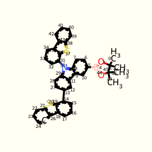 CC1(C)OB(c2ccc3c(c2)c2cc(-c4cccc5c4sc4ccccc45)ccc2n3-c2cccc3c2sc2ccccc23)OC1(C)C